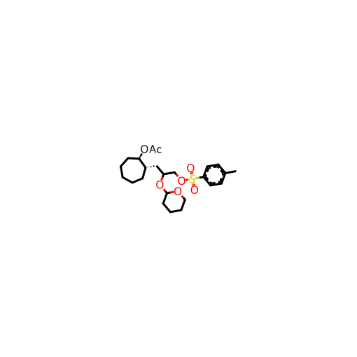 CC(=O)O[C@@H]1CCCCC[C@H]1CC(COS(=O)(=O)c1ccc(C)cc1)OC1CCCCO1